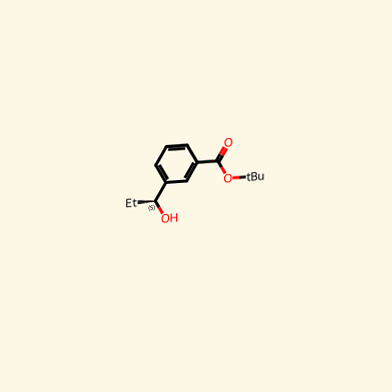 CC[C@H](O)c1cccc(C(=O)OC(C)(C)C)c1